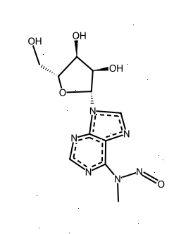 CN(N=O)c1ncnc2c1ncn2[C@@H]1O[C@H](CO)[C@@H](O)[C@H]1O